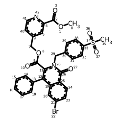 COC(=O)c1cc(COC(=O)c2c(-c3ccccc3)c3cc(Br)ccc3c(=O)n2Cc2ccc(S(C)(=O)=O)cc2)ccn1